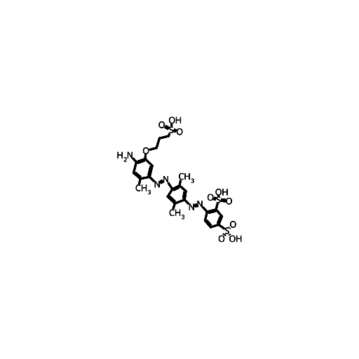 Cc1cc(N=Nc2ccc(S(=O)(=O)O)cc2S(=O)(=O)O)c(C)cc1N=Nc1cc(OCCCS(=O)(=O)O)c(N)cc1C